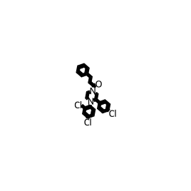 O=C(CCc1ccccc1)N1CCN(c2ccc(Cl)cc2Cl)C(c2ccc(Cl)cc2)C1